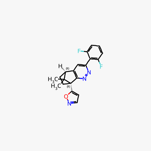 CC1(C)[C@H]2CC[C@]1(c1ccno1)c1nnc(-c3c(F)cccc3F)cc12